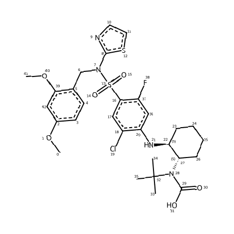 COc1ccc(CN(c2nccs2)S(=O)(=O)c2cc(Cl)c(N[C@H]3CCCC[C@@H]3N(C(=O)O)C(C)(C)C)cc2F)c(OC)c1